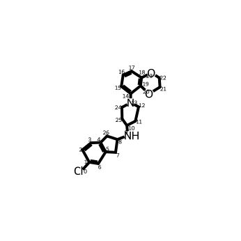 Clc1ccc2c(c1)CC(NC1CCN(c3cccc4c3OCCO4)CC1)C2